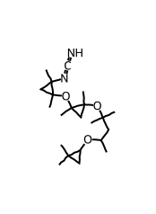 CC(CC(C)(C)OC1(C)CC1(C)OC1(C)CC1(C)N=C=N)OC1CC1(C)C